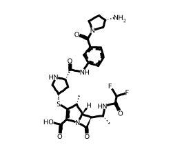 C[C@@H](NC(=O)C(F)F)[C@H]1C(=O)N2C(C(=O)O)=C(S[C@@H]3CN[C@H](C(=O)Nc4cccc(C(=O)N5CC[C@H](N)C5)c4)C3)[C@H](C)[C@H]12